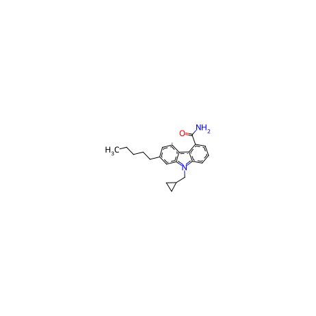 CCCCCc1c[c]c2c3c(C(N)=O)cccc3n(CC3CC3)c2c1